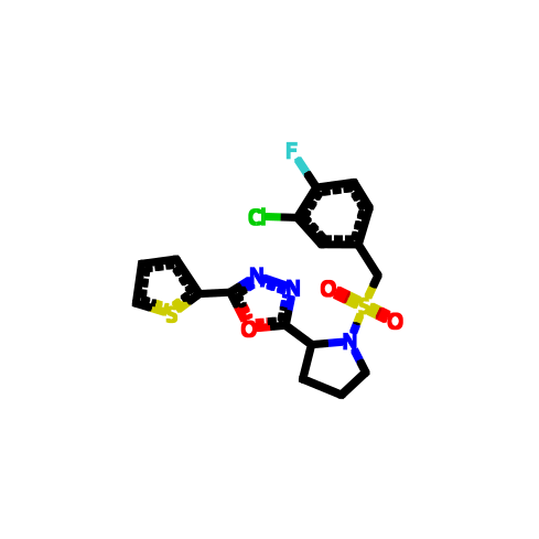 O=S(=O)(Cc1ccc(F)c(Cl)c1)N1CCCC1c1nnc(-c2cccs2)o1